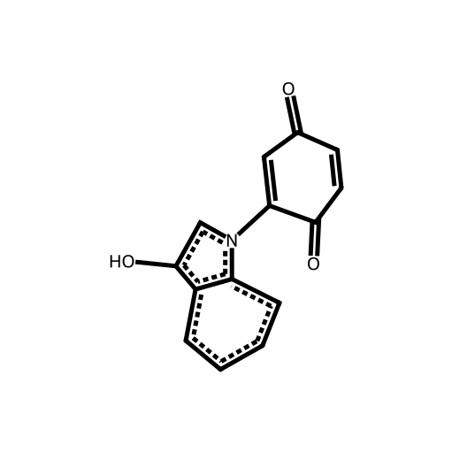 O=C1C=CC(=O)C(n2cc(O)c3ccccc32)=C1